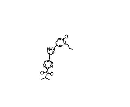 CCCn1cc(-n2cc(-c3cnc(S(=O)(=O)C(C)C)nc3)cn2)ccc1=O